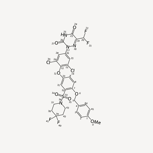 COc1ccc(COc2ccc(Oc3c(Cl)cc(-n4nc(C(F)F)c(=O)[nH]c4=O)cc3Cl)cc2S(=O)(=O)N2CCC(F)(F)CC2)cc1